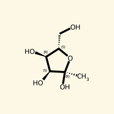 C[C@@]1(O)O[C@@H](CO)[C@H](O)[C@@H]1O